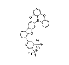 [2H]C([2H])([2H])c1cnc(-c2cccc3c2oc2cc4c(cc23)Oc2cccc3c2B4c2ccccc2O3)cc1C([2H])([2H])[2H]